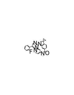 CN(C(=O)c1ccc2c(c1)N(c1ncc(-c3ccccc3F)cn1)CC21CC1)c1ccncc1